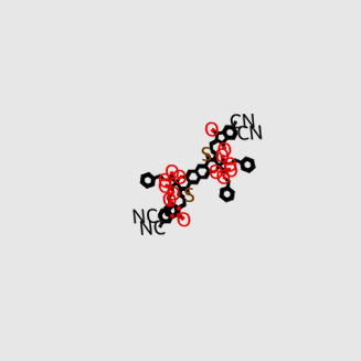 N#Cc1cc2c(cc1C#N)C(=O)C(=Cc1cc3c(s1)C1=CC4C=C5OC(C(=O)OCc6ccccc6)(C(=O)OCc6ccccc6)c6cc(C=C7C(=O)c8cc(C#N)c(C#N)cc8C7=O)sc6C5=CC4C=C1OC3(C(=O)OCc1ccccc1)C(=O)OCc1ccccc1)C2=O